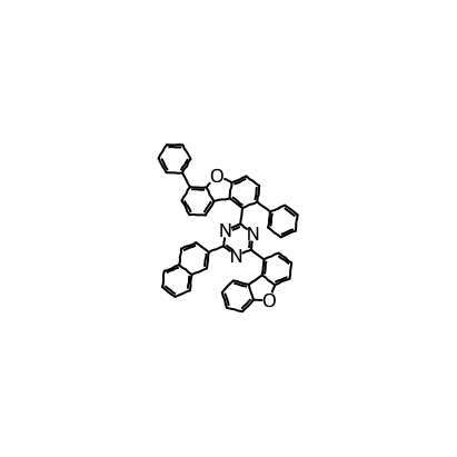 c1ccc(-c2ccc3oc4c(-c5ccccc5)cccc4c3c2-c2nc(-c3ccc4ccccc4c3)nc(-c3cccc4oc5ccccc5c34)n2)cc1